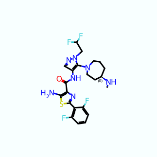 CN[C@@H]1CCCN(c2c(NC(=O)c3nc(-c4c(F)cccc4F)sc3N)cnn2CC(F)F)CC1